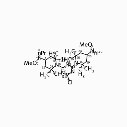 CCCN(OC)C1CC(C)(C)N(c2nc(Cl)nc(N3C(C)(C)CC(N(CCC)OC)CC3(C)C)n2)C(C)(C)C1